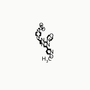 COc1ccc(-c2cn3cc(CN4CCN(C=S(=O)=O)CC4)nc3c(N3CCOCC3)n2)cn1